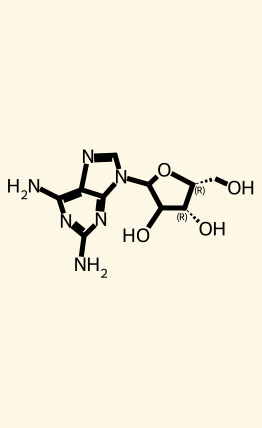 Nc1nc(N)c2ncn(C3O[C@H](CO)[C@H](O)C3O)c2n1